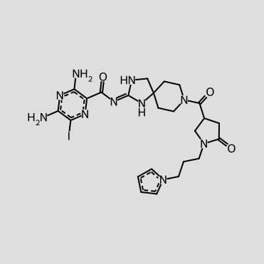 Nc1nc(N)c(C(=O)/N=C2\NCC3(CCN(C(=O)C4CC(=O)N(CCCn5cccc5)C4)CC3)N2)nc1I